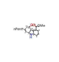 CCCCCC1=Cc2[nH]c3cccc(C(=O)OC)c3c2C(=O)C1